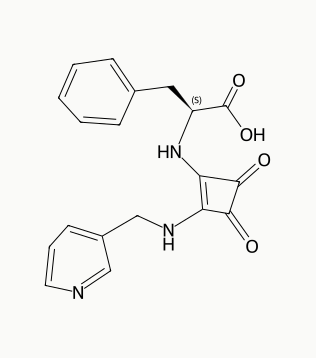 O=C(O)[C@H](Cc1ccccc1)Nc1c(NCc2cccnc2)c(=O)c1=O